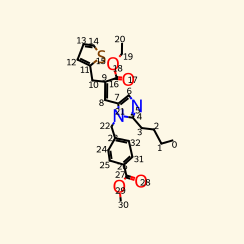 CCCCc1ncc(C=C(Cc2cccs2)C(=O)OCC)n1Cc1ccc(C(=O)OC)cc1